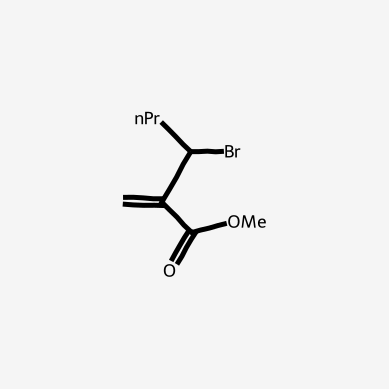 C=C(C(=O)OC)C(Br)CCC